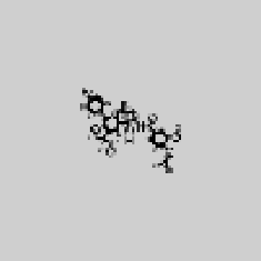 COc1cc(C(=O)NCC(O)(c2cc3c(c(-c4ccc(F)cc4)n2)OC[C@]3(C)C=O)C(F)(F)F)ccc1OC1CC1